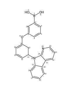 OB(O)c1cccc(OC2=CC=CC(n3c4ccccc4c4cccnc43)C2)c1